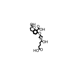 O=C(O)CCCC(O)N1CC(Oc2ccc3c(c2C(=O)O)OB(O)CC3)C1